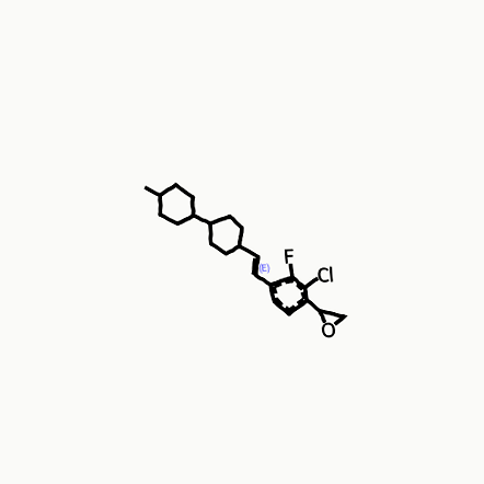 CC1CCC(C2CCC(/C=C/c3ccc(C4CO4)c(Cl)c3F)CC2)CC1